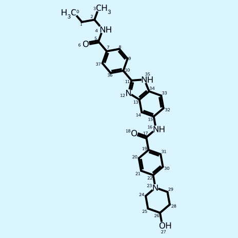 CCC(C)NC(=O)c1ccc(-c2nc3cc(NC(=O)c4ccc(N5CCC(O)CC5)cc4)ccc3[nH]2)cc1